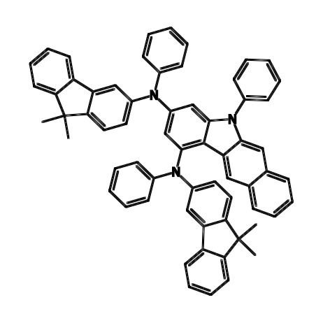 CC1(C)c2ccccc2-c2cc(N(c3ccccc3)c3cc(N(c4ccccc4)c4ccc5c(c4)-c4ccccc4C5(C)C)c4c5cc6ccccc6cc5n(-c5ccccc5)c4c3)ccc21